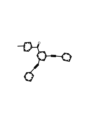 Cc1ccc(C(=O)c2cc(C#Cc3ccccc3)cc(C#Cc3ccccc3)c2)cc1